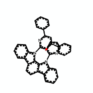 c1ccc(-c2cc(-c3ccccc3)nc(-n3c4ccccc4c4ccc5c6ccccc6n(-c6ccccn6)c5c43)n2)cc1